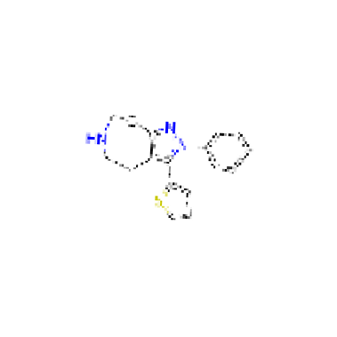 c1ccc(-n2nc3c(c2-c2cccs2)CCNCC3)cc1